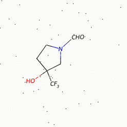 O=[C]N1CCC(O)(C(F)(F)F)C1